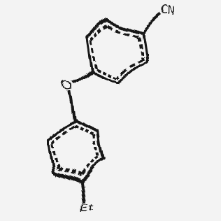 CCc1ccc(Oc2ccc(C#N)cc2)cc1